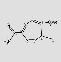 COC1=CC=C(C(=N)N)C=CC1C